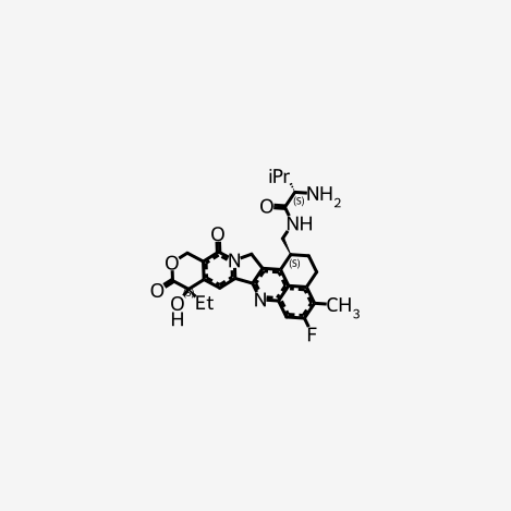 CC[C@@]1(O)C(=O)OCc2c1cc1n(c2=O)Cc2c-1nc1cc(F)c(C)c3c1c2[C@@H](CNC(=O)[C@@H](N)C(C)C)CC3